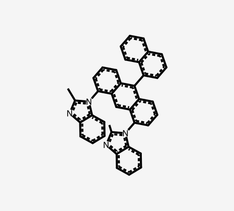 Cc1nc2ccccc2n1-c1cccc2c(-c3cccc4ccccc34)c3cccc(-n4c(C)nc5ccccc54)c3cc12